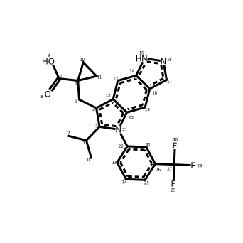 CC(C)c1c(CC2(C(=O)O)CC2)c2cc3[nH]ncc3cc2n1-c1cccc(C(F)(F)F)c1